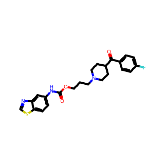 O=C(Nc1ccc2scnc2c1)OCCCN1CCC(C(=O)c2ccc(F)cc2)CC1